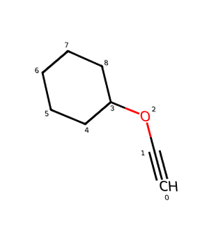 C#COC1CCCCC1